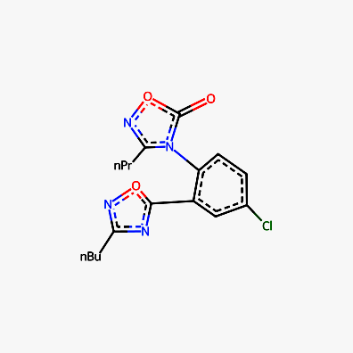 CCCCc1noc(-c2cc(Cl)ccc2-n2c(CCC)noc2=O)n1